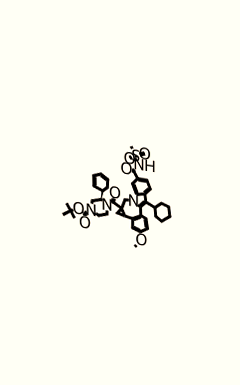 COc1ccc2c(c1)C1CC1(C(=O)N1CCN(C(=O)OC(C)(C)C)C[C@H]1C1C=CC=CC1)Cn1c-2c(C2CCCCC2)c2ccc(C(=O)NS(C)(=O)=O)cc21